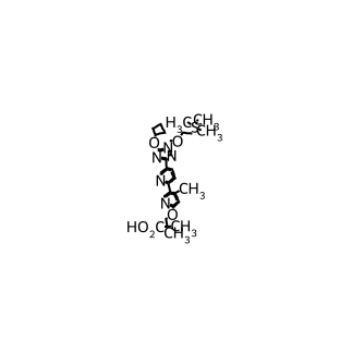 Cc1cc(OCC(C)(C)C(=O)O)ncc1-c1ccc(-c2nc(OC3CCC3)n(COCCS(C)(C)C)n2)cn1